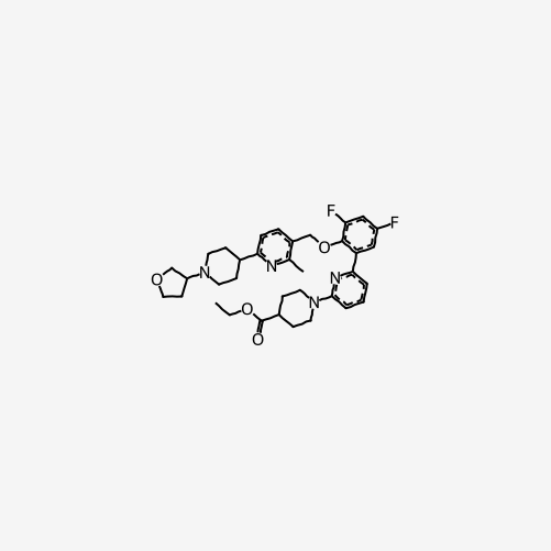 CCOC(=O)C1CCN(c2cccc(-c3cc(F)cc(F)c3OCc3ccc(C4CCN(C5CCOC5)CC4)nc3C)n2)CC1